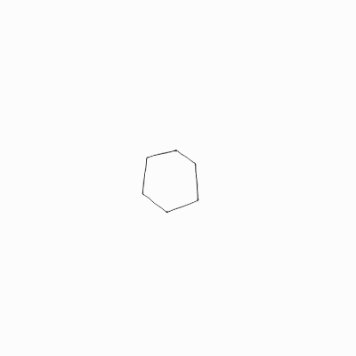 [C]1CCCCC1